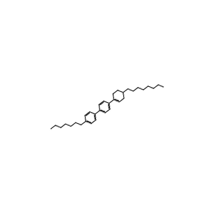 CCCCCCCCC1CC=C(c2ccc(-c3ccc(CCCCCCC)cc3)cc2)CC1